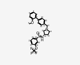 COc1ccccc1-c1ccc(CN2CC[C@@H](N[S+]([O-])c3cccc(OC(F)(F)F)c3)C2)cc1